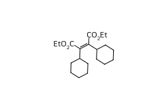 CCOC(=O)/C(=C(\C(=O)OCC)C1CCCCC1)C1CCCCC1